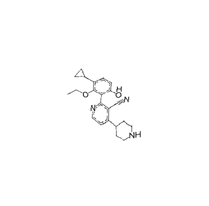 CCOc1c(C2CC2)ccc(O)c1-c1nccc(C2CCNCC2)c1C#N